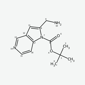 CC(C)(C)OC(=O)n1c(CN)cc2cnccc21